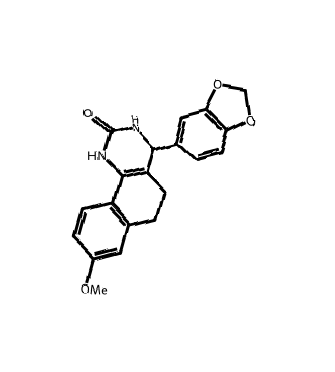 COc1ccc2c(c1)CCC1=C2NC(=O)NC1c1ccc2c(c1)OCO2